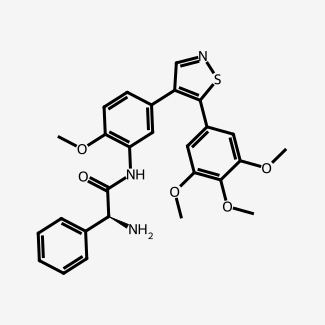 COc1ccc(-c2cnsc2-c2cc(OC)c(OC)c(OC)c2)cc1NC(=O)[C@@H](N)c1ccccc1